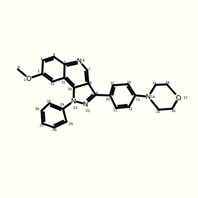 COc1ccc2ncc3c(-c4ccc(N5CCOCC5)cc4)nn(-c4ccccc4)c3c2c1